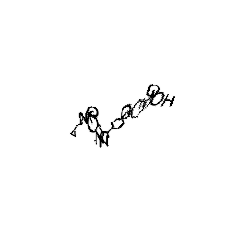 CN(CCC1CC1)C(=O)OCc1c(-c2ccc(O[C@H]3CCC[C@H](C(=O)O)C3)cc2)cnn1C